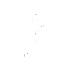 CC12CCC(O)CC1CCC1C2CC[C@@]2(C)C1CC[C@@H]2CC(O)c1ccccc1